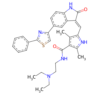 CCN(CC)CCNC(=O)c1c(C)[nH]c(/C=C2/C(=O)Nc3ccc(-c4csc(-c5ccccc5)n4)cc32)c1C